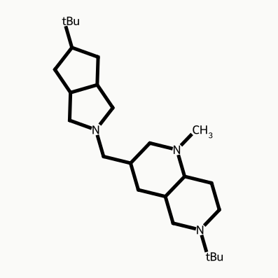 CN1CC(CN2CC3CC(C(C)(C)C)CC3C2)CC2CN(C(C)(C)C)CCC21